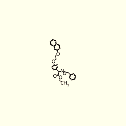 CCOC(=O)C(=NOCc1ccccc1)c1ccc(OCCOc2ccc3ccccc3c2)s1